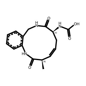 C[C@@H]1C=CC[C@H](NC(=O)O)C(=O)NCc2ccccc2NC1=O